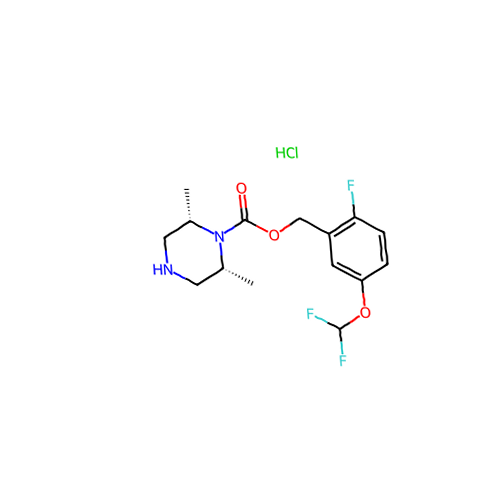 C[C@@H]1CNC[C@H](C)N1C(=O)OCc1cc(OC(F)F)ccc1F.Cl